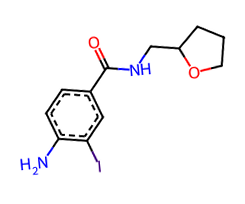 Nc1ccc(C(=O)NCC2CCCO2)cc1I